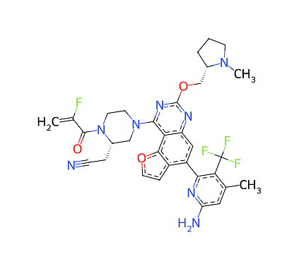 C=C(F)C(=O)N1CCN(c2nc(OC[C@@H]3CCCN3C)nc3cc(-c4nc(N)cc(C)c4C(F)(F)F)c4ccoc4c23)C[C@@H]1CC#N